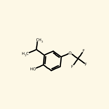 CC(C)c1cc(OC(F)(F)F)ccc1O